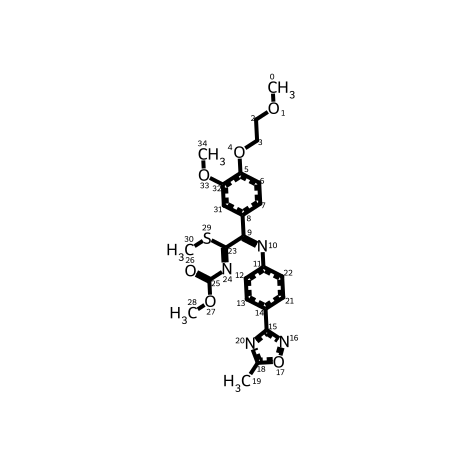 COCCOc1ccc(C(=N/c2ccc(-c3noc(C)n3)cc2)/C(=N/C(=O)OC)SC)cc1OC